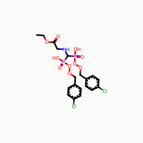 CCOC(=O)CNC(P(=O)(O)OOCc1ccc(Cl)cc1)P(=O)(O)OOCc1ccc(Cl)cc1